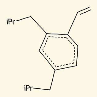 C=Cc1ccc(CC(C)C)cc1CC(C)C